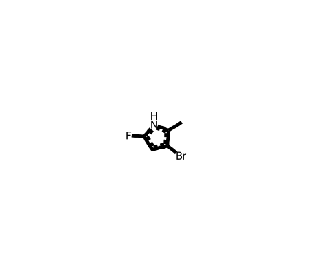 Cc1[nH]c(F)cc1Br